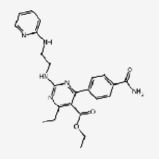 CCOC(=O)c1c(CC)nc(NCCNc2ccccn2)nc1-c1ccc(C(N)=O)cc1